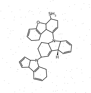 [SiH3]C1CC=C(N2C3CCC(N4C5=C(C=CCC5)C5C=C=CC54)C=C3[C@H]3C=CC=CC32)C2C3=C(C=CCC3)OC12